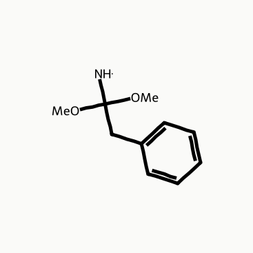 COC([NH])(Cc1ccccc1)OC